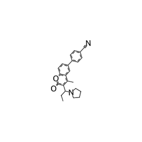 CCC(c1c(C)c2cc(-c3ccc(C#N)cc3)ccc2oc1=O)N1CCCC1